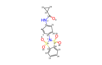 O=C(Nc1ccc(N2S(=O)(=O)c3ccccc3S2(=O)=O)cc1)C1CC1